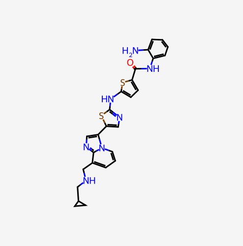 Nc1ccccc1NC(=O)c1ccc(Nc2ncc(-c3cnc4c(CNCC5CC5)cccn34)s2)s1